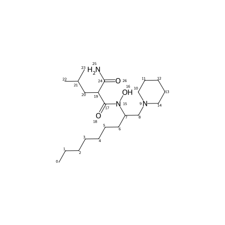 CCCCCCCC(CN1CCCCC1)N(O)C(=O)C(CC(C)C)C(N)=O